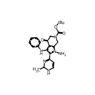 CC1N=C(c2c(Nc3ccccc3)c3c(n2N)CN(C(=O)OC(C)(C)C)CC3=O)C=CN1